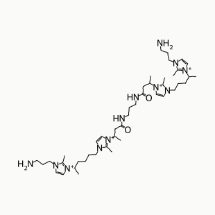 Cc1n(CCCN)cc[n+]1C(C)CCCCn1cc[n+](C(C)CC(=O)NCCCNC(=O)CC(C)[n+]2ccn(CCCC(C)[n+]3ccn(CCCN)c3C)c2C)c1C